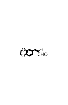 CCC(C=O)=Cc1ccc2c(c1)OCCO2